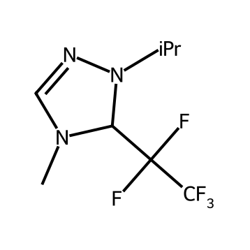 CC(C)N1N=CN(C)C1C(F)(F)C(F)(F)F